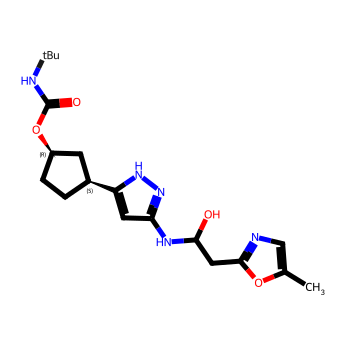 Cc1cnc(CC(O)Nc2cc([C@H]3CC[C@@H](OC(=O)NC(C)(C)C)C3)[nH]n2)o1